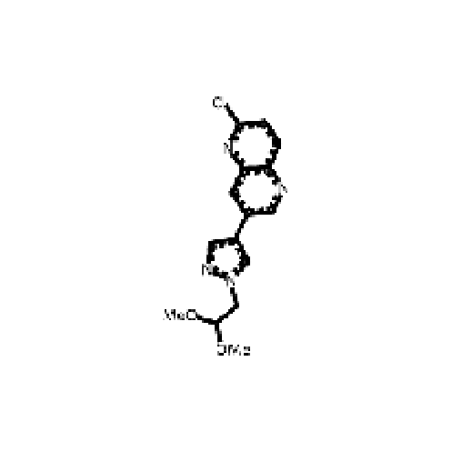 COC(Cn1cc(-c2cnc3ccc(Cl)nc3c2)cn1)OC